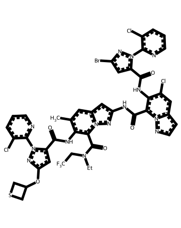 CCN(CC(F)(F)F)C(=O)c1c(NC(=O)c2cc(OC3CSC3)nn2-c2ncccc2Cl)c(C)cc2cc(NC(=O)c3c(NC(=O)c4cc(Br)nn4-c4ncccc4Cl)c(Cl)cc4ccnn34)nn12